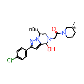 CCCCC1CN(CC(=O)N2CCC[C@@H](C)C2)C(O)c2cc(-c3ccc(Cl)cc3)nn21